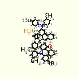 Cc1cccc(N(c2ccc(C(C)(C)C)cc2)c2ccc3c4c(c5ccccc5c3c2)-c2c(cc(N(c3ccc(C(C)(C)C)cc3)c3cccc(C)c3)c3c2oc2ccccc23)C42c3ccc(C)cc3-c3cc(P)ccc32)c1